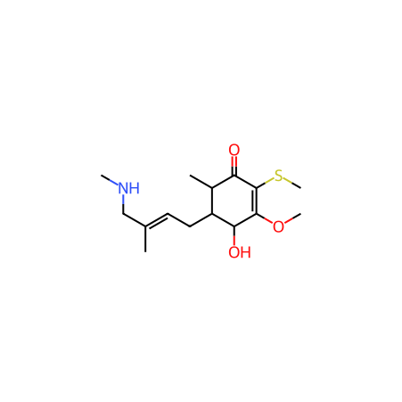 CNC/C(C)=C/CC1C(C)C(=O)C(SC)=C(OC)C1O